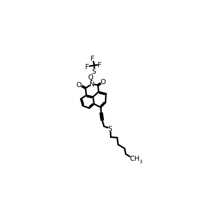 CCCCCCSCC#Cc1ccc2c3c(cccc13)C(=O)N(OSC(F)(F)F)C2=O